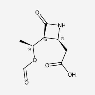 C[C@H](OC=O)[C@H]1C(=O)N[C@H]1CC(=O)O